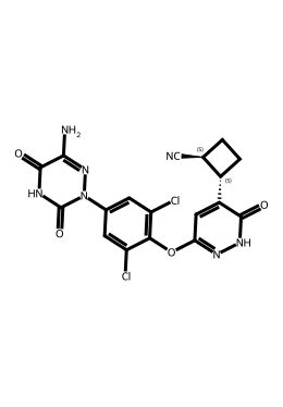 N#C[C@H]1CC[C@@H]1c1cc(Oc2c(Cl)cc(-n3nc(N)c(=O)[nH]c3=O)cc2Cl)n[nH]c1=O